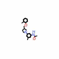 CC(=O)Nc1cc(C)cc(N2CCC(COc3ccccc3C)C2)c1